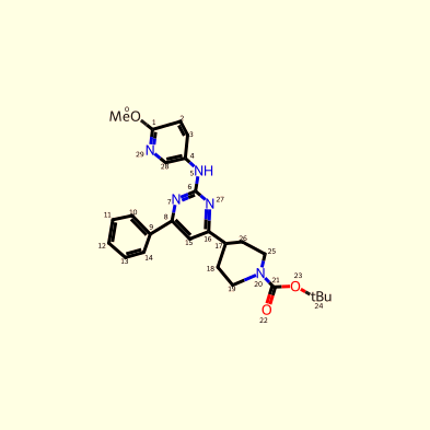 COc1ccc(Nc2nc(-c3ccccc3)cc(C3CCN(C(=O)OC(C)(C)C)CC3)n2)cn1